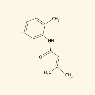 CC(C)=CC(=O)Nc1c[c]ccc1C